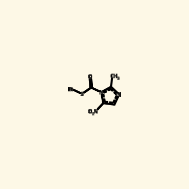 CCSC(=O)n1c([N+](=O)[O-])cnc1C